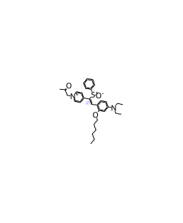 CCCCCCOc1cc(N(CC)CC)ccc1/C=C(/c1cc[n+](CC(C)=O)cc1)[S+]([O-])c1ccccc1